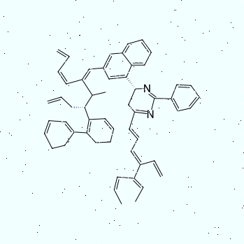 C=C/C=C\C(=C\c1cc([C@H]2CC(/C=C/C=C(C=C)/C(/C=C\C)=C/C)=NC(c3ccccc3)=N2)c2ccccc2c1)C(C)[C@@H](CC=C)C1=C(C2=CC=CCC2)CCC=C1